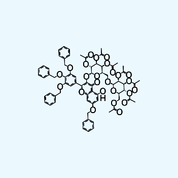 CC(=O)OC[C@H]1O[C@@H](OC[C@H]2O[C@@H](Oc3c(-c4cc(OCc5ccccc5)c(OCc5ccccc5)c(OCc5ccccc5)c4)oc4cc(OCc5ccccc5)cc(O)c4c3=O)[C@H](OC(C)=O)[C@@H](OC(C)=O)[C@H]2OC(C)=O)[C@@H](OC(C)=O)[C@@H](OC(C)=O)[C@@H]1OC(C)=O